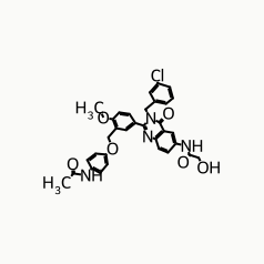 COc1ccc(-c2nc3ccc(NC(=O)CO)cc3c(=O)n2Cc2cccc(Cl)c2)cc1COc1ccc(NC(C)=O)cc1